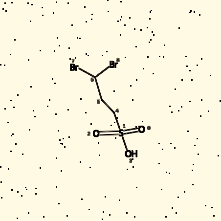 O=S(=O)(O)CCC(Br)Br